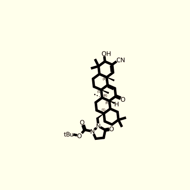 CC1(C)CC[C@]2(CN3C(=O)CCN3C(=O)OC(C)(C)C)CC[C@]3(C)[C@H](C(=O)C=C4[C@@]5(C)C=C(C#N)C(O)C(C)(C)C5CC[C@]43C)C2C1